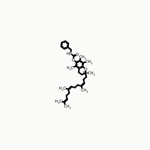 CC(C)=CCCC(C)=CCCC(C)=CCC[C@]1(C)CCc2c(C)c(OC(=O)NCc3ccccc3)c(C)c(C)c2O1